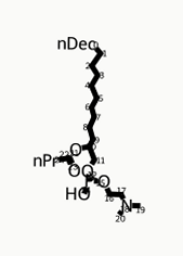 CCCCCCCCCCCCCCCCCCCC(COP(O)OCCN(C)C)OC(=O)CCC